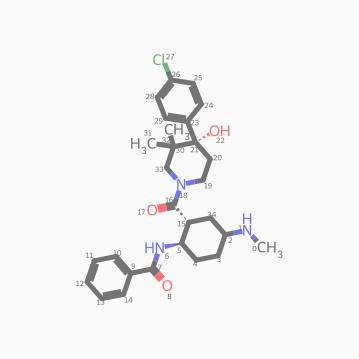 CNC1CC[C@@H](NC(=O)c2ccccc2)[C@H](C(=O)N2CC[C@](O)(c3ccc(Cl)cc3)C(C)(C)C2)C1